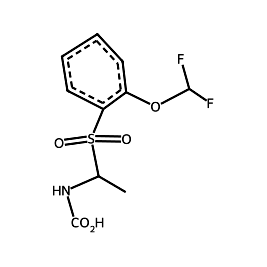 CC(NC(=O)O)S(=O)(=O)c1ccccc1OC(F)F